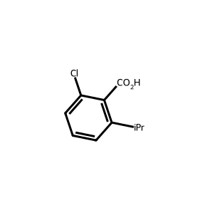 CC(C)c1cccc(Cl)c1C(=O)O